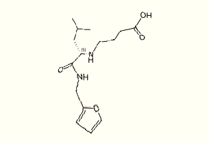 CC(C)C[C@H](NCCCC(=O)O)C(=O)NCc1ccco1